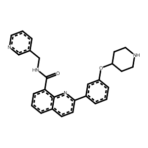 O=C(NCc1cccnc1)c1cccc2ccc(-c3cccc(OC4CCNCC4)c3)nc12